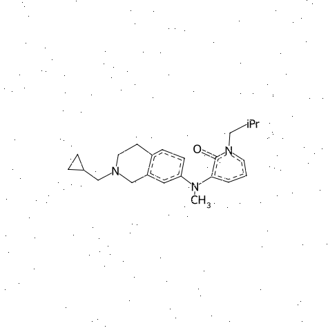 CC(C)Cn1cccc(N(C)c2ccc3c(c2)CN(CC2CC2)CC3)c1=O